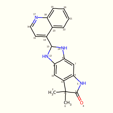 CC1(C)C(=O)Nc2cc3c(cc21)NC(c1ccnc2ccccc12)N3